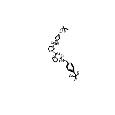 CC(C)(C)OC1CN(S(=O)(=O)N2CCC[C@H](C(=O)N3CCC[C@@H]3C(=O)NCc3ccc(C(F)(F)F)cc3)C2)C1